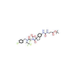 C[C@H](N(Cc1ccc(F)cc1)C(=O)CN1C(=O)O[C@@]2(CCc3cc(NC(=O)NCCC(=O)OC(C)(C)C)ccc32)C1=O)C(F)(F)F